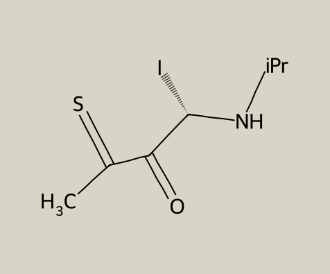 CC(=S)C(=O)[C@H](I)NC(C)C